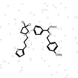 CCCCCC(OCc1ccc(OC)cc1)c1ccc([C@@H]2[C@@H](CCCc3cccs3)CCC2(Cl)Cl)cc1